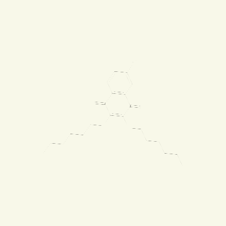 CCCCCCOC1=C(OCCCCCC)C(=O)c2cc(Cl)ccc2C1=O